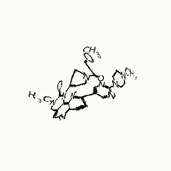 COCC(=O)N1CCC(N2C(=O)N(C)Cc3cnc4ccc(-c5cnc(N6CCN(C)CC6)nc5)nc4c32)CC1